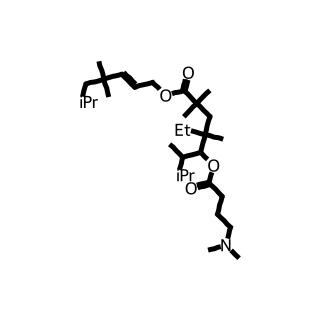 CCC(C)(CC(C)(C)C(=O)OC/C=C/C(C)(C)CC(C)C)C(OC(=O)CCCN(C)C)C(C)C(C)C